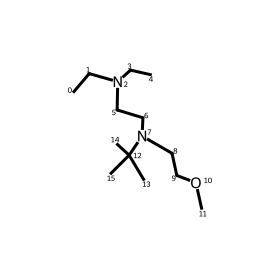 CCN(CC)CCN(CCOC)C(C)(C)C